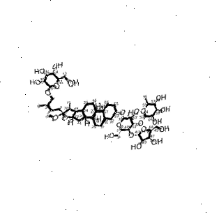 CO[C@@]1(CC[C@@H](C)CO[C@@H]2O[C@H](CO)[C@@H](O)[C@H](O)[C@H]2O)O[C@H]2C[C@@H]3C(CC[C@H]4[C@H]3CC=C3C[C@@H](O[C@H]5O[C@@H](CO)[C@H](O[C@@H]6O[C@@H](CO)[C@H](O)[C@H]6O)[C@@H](O[C@@H]6O[C@@H](C)[C@H](O)[C@@H](O)[C@H]6O)[C@@H]5O)CC[C@@]34C)C2[C@@H]1C